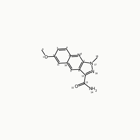 COc1ccc2nc3c(cc2c1)c(C(N)=O)nn3C